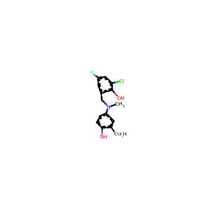 CN(Cc1cc(F)cc(Cl)c1O)c1ccc(O)c(C(=O)O)c1